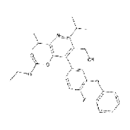 CCOC(=O)Oc1c(C(C)C)nc(C(C)C)c(CO)c1-c1ccc(F)c(Oc2ccccc2)c1